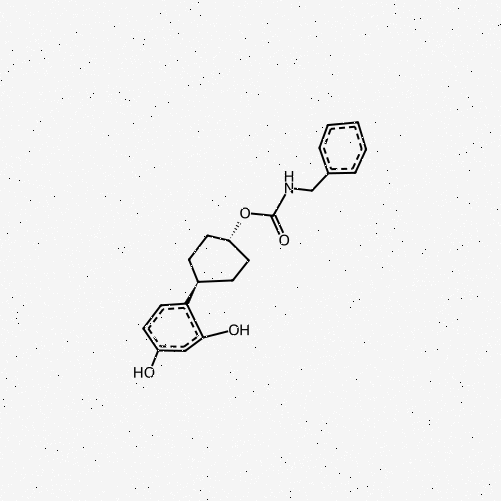 O=C(NCc1ccccc1)O[C@H]1CC[C@H](c2ccc(O)cc2O)CC1